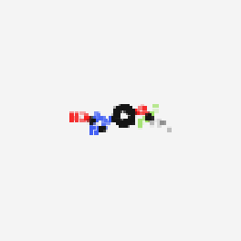 Oc1ncn(-c2ccc(OC(F)(F)C(F)(F)F)cc2)n1